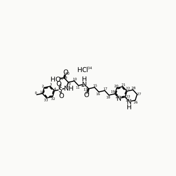 Cc1ccc(S(=O)(=O)NC(CCNC(=O)CCCCc2ccc3c(n2)NCCC3)C(=O)O)cc1.Cl